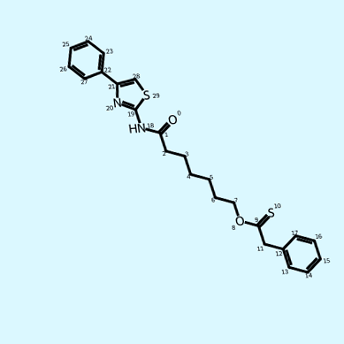 O=C(CCCCCCOC(=S)Cc1ccccc1)Nc1nc(-c2ccccc2)cs1